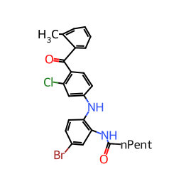 CCCCCC(=O)Nc1cc(Br)ccc1Nc1ccc(C(=O)c2ccccc2C)c(Cl)c1